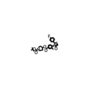 Cc1cc(C(=O)OC2CCN(C(=O)OC(C)(C)C)CC2)ccc1N1C(=O)CSC1c1ccc(F)cc1